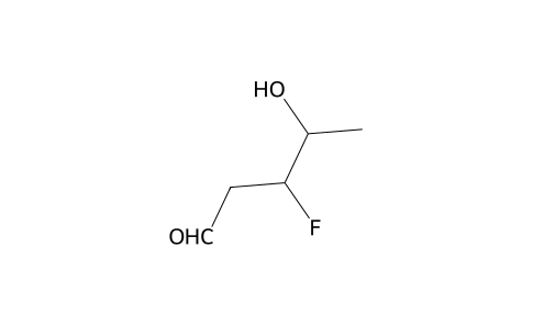 CC(O)C(F)CC=O